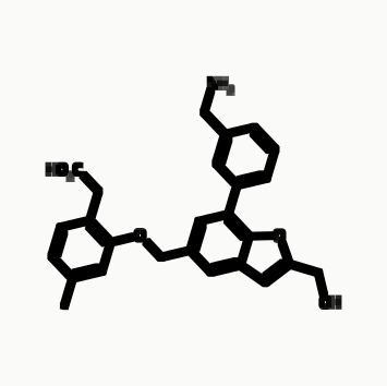 Cc1ccc(CC(=O)O)c(OCc2cc(-c3cccc(CN)c3)c3oc(CO)cc3c2)c1